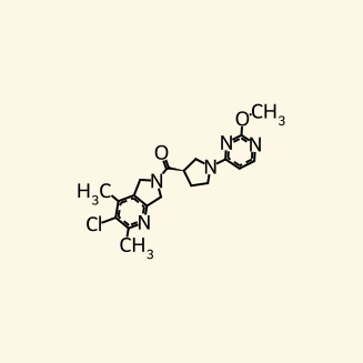 COc1nccc(N2CC[C@@H](C(=O)N3Cc4nc(C)c(Cl)c(C)c4C3)C2)n1